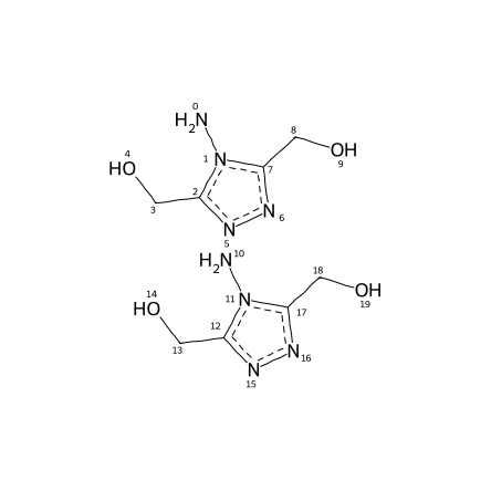 Nn1c(CO)nnc1CO.Nn1c(CO)nnc1CO